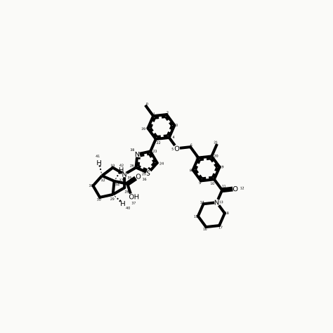 Cc1ccc(OCc2ccc(C(=O)N3CCCCC3)cc2C)c(-c2csc(N3C[C@H]4CC[C@@H](C3)[C@H]4C(=O)O)n2)c1